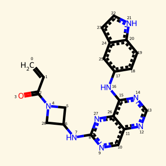 C=CC(=O)N1CC(Nc2ncc3ncnc(Nc4ccc5[nH]ccc5c4)c3n2)C1